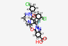 CC1CC1CN1[C@H]2COc3c4ccc(C(=O)O)cc4nn3C[C@H]2[C@H](c2cccc(Cl)c2F)[C@]1(C)C(=O)Nc1cccc(Cl)c1